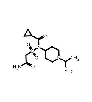 CC(C)N1CCC(N(C(=O)C2CC2)S(=O)(=O)CC(N)=O)CC1